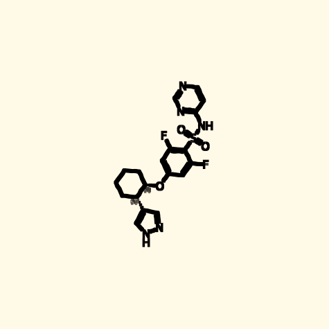 O=S(=O)(Nc1ccncn1)c1c(F)cc(O[C@@H]2CCCC[C@H]2c2cn[nH]c2)cc1F